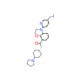 O=C(C[C@H]1CC[C@H](N2CCCC2)CC1)c1cccc2c1OCCN2c1ccc(CI)cn1